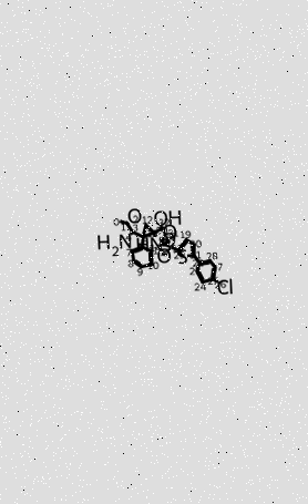 CC(=O)C(N)C1(c2ccccc2)CC1(NS(=O)(=O)c1ccc(-c2ccc(Cl)cc2)s1)C(=O)O